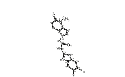 Cn1c(=O)ccc2c1ncn2CC(=O)Nc1nc2cc(F)c(F)cc2s1